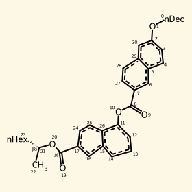 CCCCCCCCCCOc1ccc2cc(C(=O)Oc3cccc4cc(C(=O)O[C@H](C)CCCCCC)ccc34)ccc2c1